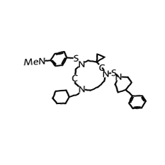 CNc1ccc(SN2CCCN(CC3CCCCC3)CCCN(SN3CCC(c4ccccc4)CC3)CC3(CC3)C2)cc1